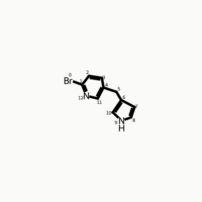 Brc1ccc(Cc2cc[nH]c2)cn1